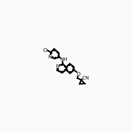 N#CC1(COc2ccc3c(Nc4ccc(Cl)nc4)nccc3c2)CC1